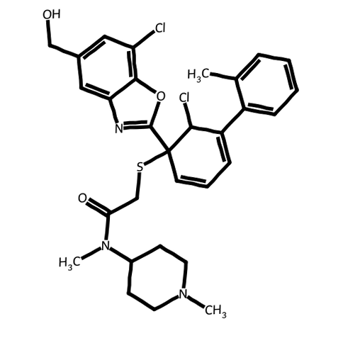 Cc1ccccc1C1=CC=CC(SCC(=O)N(C)C2CCN(C)CC2)(c2nc3cc(CO)cc(Cl)c3o2)C1Cl